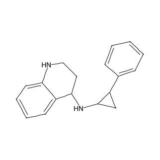 c1ccc(C2CC2NC2CCNc3ccccc32)cc1